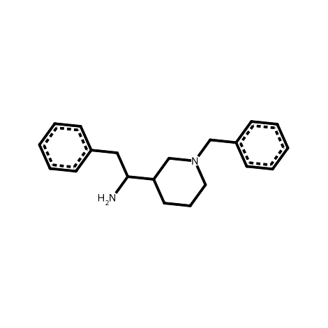 NC(Cc1ccccc1)C1CCCN(Cc2ccccc2)C1